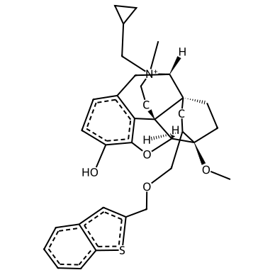 CO[C@]12CC[C@@]3(C[C@@H]1COCc1cc4ccccc4s1)[C@H]1Cc4ccc(O)c5c4[C@@]3(CC[N+]1(C)CC1CC1)[C@H]2O5